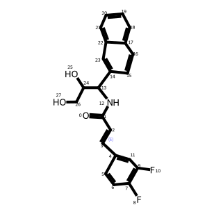 O=C(/C=C/c1ccc(F)c(F)c1)NC(c1ccc2ccccc2c1)C(O)CO